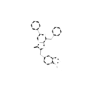 Cn1nnc2cc(Cc3nc4c(Cc5ccccc5)[nH]c(-c5ccccc5)cn-4c3=O)ccc21